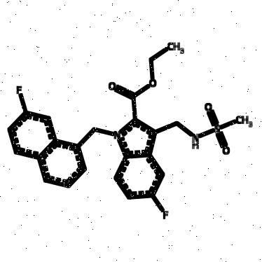 CCOC(=O)c1c(CNS(C)(=O)=O)c2cc(F)ccc2n1Cc1cccc2ccc(F)cc12